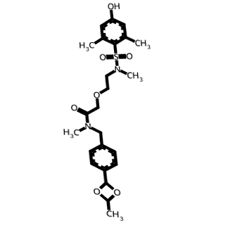 Cc1cc(O)cc(C)c1S(=O)(=O)N(C)CCOCC(=O)N(C)Cc1ccc(C2OC(C)O2)cc1